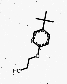 CC(C)(C)c1ccc(OCCO)nc1